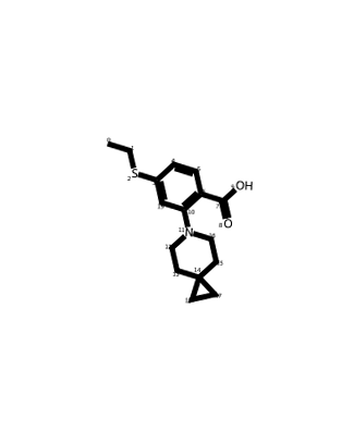 CCSc1ccc(C(=O)O)c(N2CCC3(CC2)CC3)c1